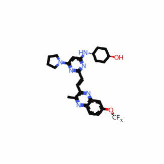 Cc1nc2ccc(OC(F)(F)F)cc2nc1C=Cc1nc(N[C@H]2CC[C@H](O)CC2)cc(N2CCCC2)n1